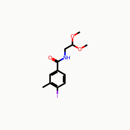 COC(CNC(=O)c1ccc(I)c(C)c1)OC